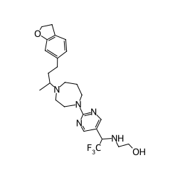 CC(CCc1ccc2c(c1)OCC2)N1CCCN(c2ncc(C(NCCO)C(F)(F)F)cn2)CC1